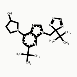 CC(C)(C)c1nc(N2CCC(O)C2)c2ncn(CC3(C(C)(C)C)N=NN=N3)c2n1